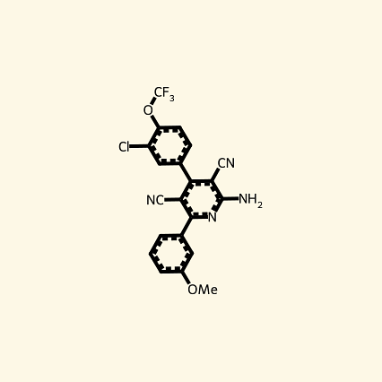 COc1cccc(-c2nc(N)c(C#N)c(-c3ccc(OC(F)(F)F)c(Cl)c3)c2C#N)c1